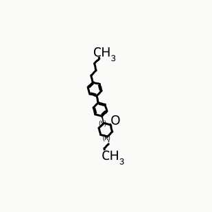 CCCCCc1ccc(-c2ccc([C@@H]3CC[C@@H](CCC)CC3=O)cc2)cc1